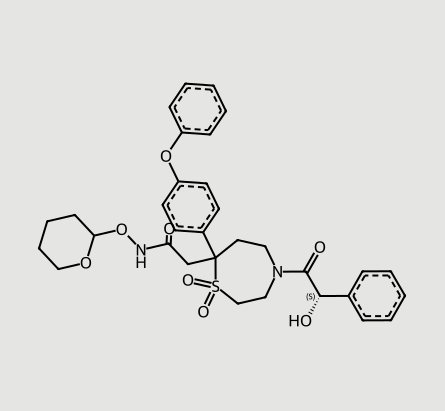 O=C(CC1(c2ccc(Oc3ccccc3)cc2)CCN(C(=O)[C@@H](O)c2ccccc2)CCS1(=O)=O)NOC1CCCCO1